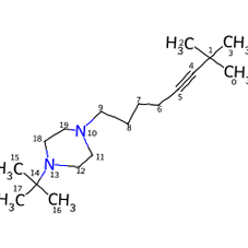 CC(C)(C)C#CCCCCN1CCN(C(C)(C)C)CC1